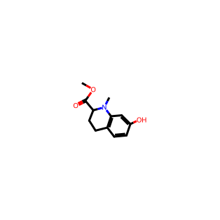 COC(=O)C1CCc2ccc(O)cc2N1C